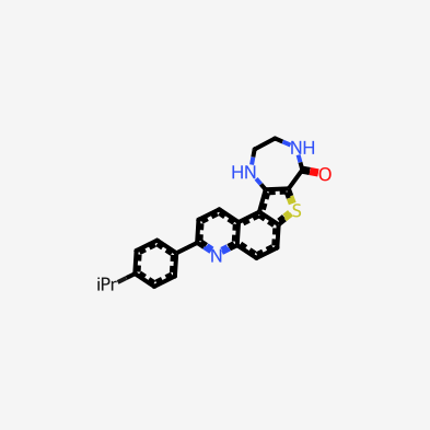 CC(C)c1ccc(-c2ccc3c(ccc4sc5c(c43)NCCNC5=O)n2)cc1